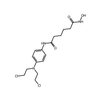 O=C(CCCCC(=O)Nc1ccc(N(CCCl)CCCl)cc1)NO